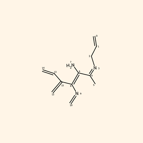 C=CC/N=C(C)\C(N)=C(/N=C)C(=C)C=C